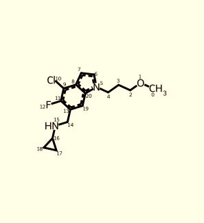 COCCCn1ccc2c(Cl)c(F)c(CNC3CC3)cc21